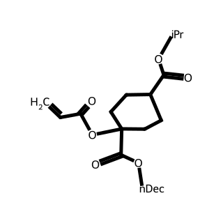 C=CC(=O)OC1(C(=O)OCCCCCCCCCC)CCC(C(=O)OC(C)C)CC1